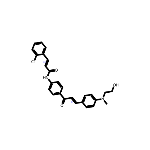 CN(CCO)c1ccc(/C=C/C(=O)c2ccc(NC(=O)/C=C/c3ccccc3Cl)cc2)cc1